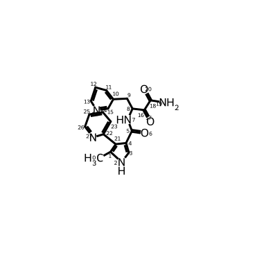 Cc1[nH]cc(C(=O)NC(Cc2cccnc2)C(=O)C(N)=O)c1-c1ccccn1